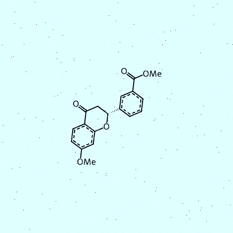 COC(=O)c1cccc([C@H]2CC(=O)c3ccc(OC)cc3O2)c1